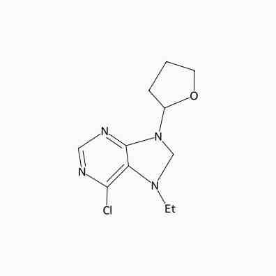 CCN1CN(C2CCCO2)c2ncnc(Cl)c21